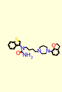 NC(=O)N(CCCCN1CCCN(c2cccc3c2OCC3)CC1)c1csc2ccccc12